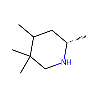 CC1C[C@H](C)NCC1(C)C